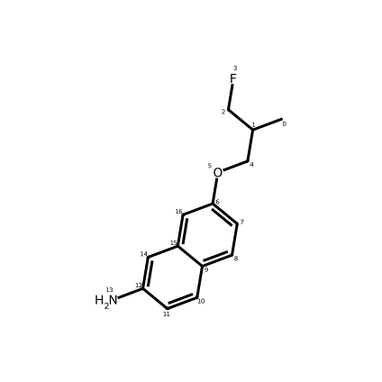 CC(CF)COc1ccc2ccc(N)cc2c1